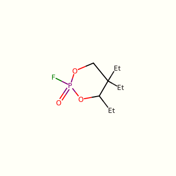 CCC1OP(=O)(F)OCC1(CC)CC